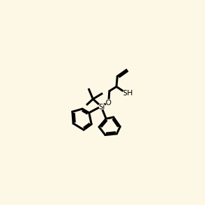 C=CC(S)CO[Si](c1ccccc1)(c1ccccc1)C(C)(C)C